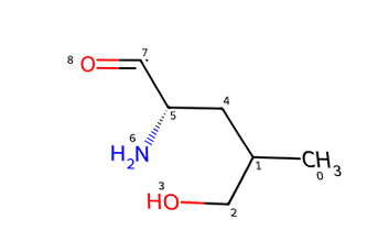 CC(CO)C[C@H](N)[C]=O